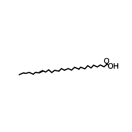 CCCCCCC=CCCCCCCCCCCCCCCCCCCCC(=O)O